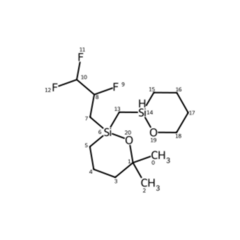 CC1(C)CCC[Si](CC(F)C(F)F)(C[SiH]2CCCCO2)O1